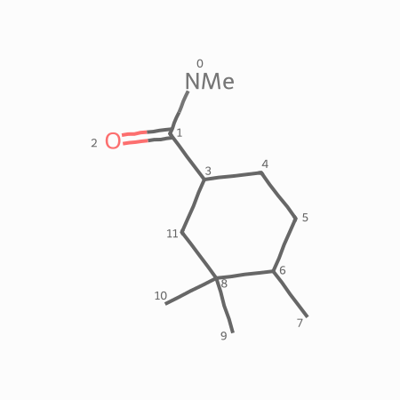 CNC(=O)C1CCC(C)C(C)(C)C1